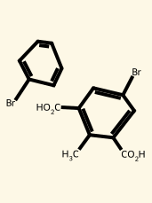 Brc1ccccc1.Cc1c(C(=O)O)cc(Br)cc1C(=O)O